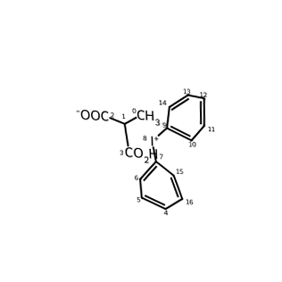 CC(C(=O)[O-])C(=O)O.c1ccc([I+]c2ccccc2)cc1